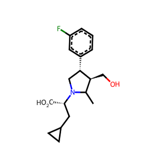 CC1[C@H](CO)[C@@H](c2cccc(F)c2)CN1[C@H](CC1CC1)C(=O)O